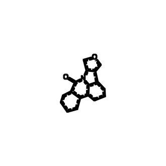 O=c1c2ccccc2c2cccc3c4cocc4n1c23